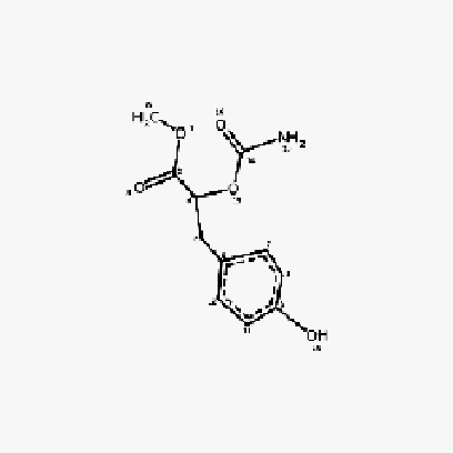 COC(=O)C(Cc1ccc(O)cc1)OC(N)=O